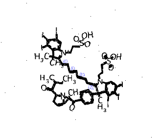 CCC(C)C(=O)C1CC=C2N1C2(C)C(=O)c1ccc(C2(C)/C(=C/C=C/C=C/C=C/C3=[N+](CCCS(=O)(=O)O)c4cc(I)c(I)c(I)c4C3(C)C)N(CCCS(=O)(=O)O)c3cc(I)c(I)c(I)c32)cc1